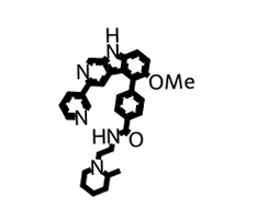 COc1ccc2[nH]c3cnc(-c4cccnc4)cc3c2c1-c1ccc(C(=O)NCCN2CCCCC2C)cc1